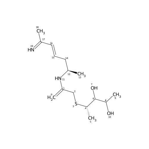 C=C(CS[C@@H](C)C(O)C(C)O)N[C@H](C)C/C=C/C(C)=N